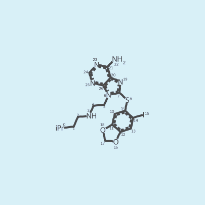 CC(C)CCNCCn1c(Sc2cc3c(cc2I)OCO3)nc2c(N)ncnc21